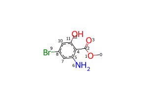 COC(=O)c1c(N)cc(Br)cc1O